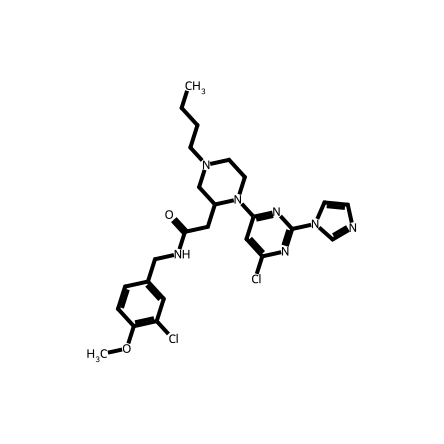 CCCCN1CCN(c2cc(Cl)nc(-n3ccnc3)n2)C(CC(=O)NCc2ccc(OC)c(Cl)c2)C1